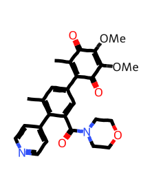 COC1=C(OC)C(=O)C(c2cc(C)c(-c3ccncc3)c(C(=O)N3CCOCC3)c2)=C(C)C1=O